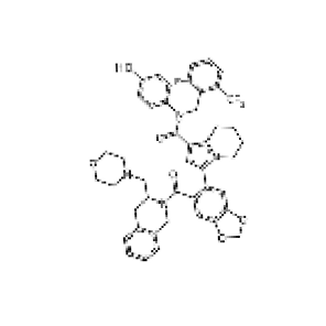 O=C(c1cc(-c2cc3c(cc2C(=O)N2Cc4ccccc4CC2CN2CCOCC2)OCO3)n2c1CCCC2)N(Cc1c(F)cccc1C(F)(F)F)c1ccc(O)cc1